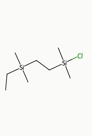 CC[Si](C)(C)CC[Si](C)(C)Cl